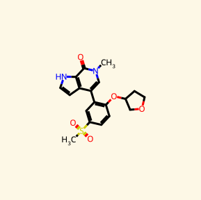 Cn1cc(-c2cc(S(C)(=O)=O)ccc2OC2CCOC2)c2cc[nH]c2c1=O